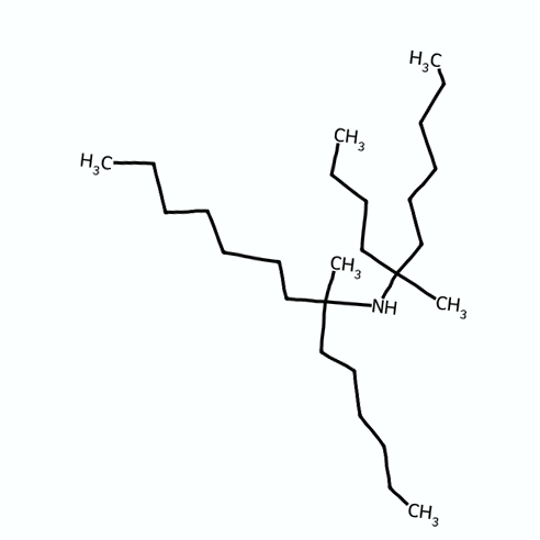 CCCCCCCC(C)(CCCCCC)NC(C)(CCCC)CCCCCC